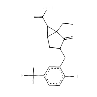 CCC12C(=O)C(Cc3cc(C(F)(F)F)ccc3Cl)CC1C2C(=O)O